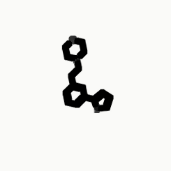 c1cc(CCN2CCOCC2)cc(-c2cccs2)c1